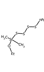 CCCSSSS[Si](C)(C)OCC